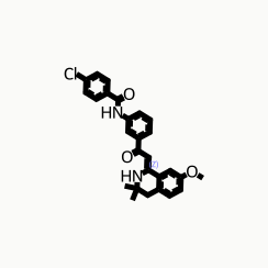 COc1ccc2c(c1)/C(=C/C(=O)c1cccc(NC(=O)c3ccc(Cl)cc3)c1)NC(C)(C)C2